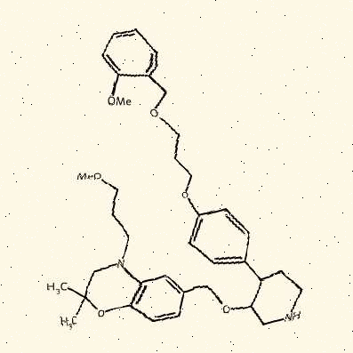 COCCCN1CC(C)(C)Oc2ccc(COC3CNCCC3c3ccc(OCCCOCc4ccccc4OC)cc3)cc21